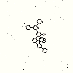 Cc1cc(-c2cc(-c3ccncc3)cc(-c3cccnc3)n2)cc(-c2cccc3c2C2(c4cc(-c5ccccc5)ccc4-3)C3CC4CC(C3)CC2C4)c1